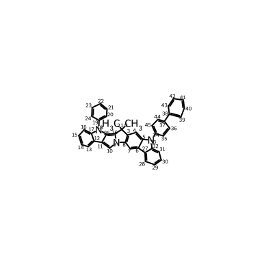 CC1(C)c2cc3c(cc2-n2cc4c5ccccc5n(-c5ccccc5)c4c21)c1ccccc1n3-c1ccc(-c2ccccc2)cc1